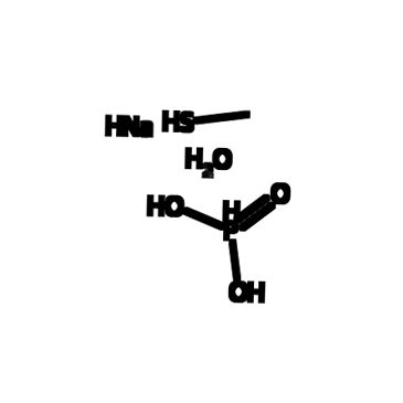 CS.O.O=[PH](O)O.[NaH]